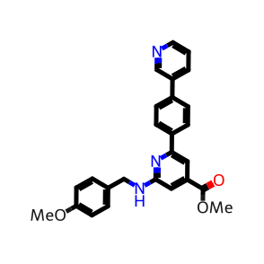 COC(=O)c1cc(NCc2ccc(OC)cc2)nc(-c2ccc(-c3cccnc3)cc2)c1